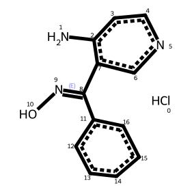 Cl.Nc1ccncc1/C(=N/O)c1ccccc1